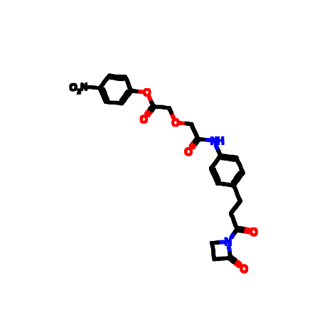 O=C(COCC(=O)Oc1ccc([N+](=O)[O-])cc1)Nc1ccc(CCC(=O)N2CCC2=O)cc1